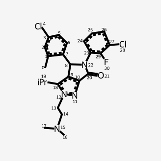 Cc1cc(Cl)ccc1C1c2c(nn(CCN(C)C)c2C(C)C)C(=O)N1c1cccc(Cl)c1F